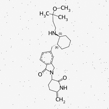 C=C1CCC(N2Cc3cc(C[C@H]4CCCC[C@@H]4NCCC(C)(C)OC)ccc3C2=O)C(=O)N1